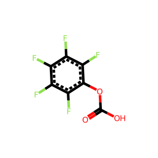 O=C(O)Oc1c(F)c(F)c(F)c(F)c1F